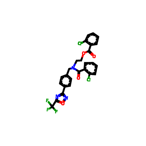 O=C(OCCN(Cc1ccc(-c2noc(C(F)(F)F)n2)cc1)C(=O)c1ccccc1Cl)c1ccccc1Cl